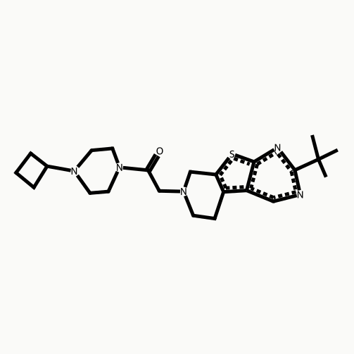 CC(C)(C)c1ncc2c3c(sc2n1)CN(CC(=O)N1CCN(C2CCC2)CC1)CC3